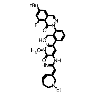 CCN1CCC#C/C(=C\C(=N)Nc2cc(-c3cccc(-n4ncc5cc(C(C)(C)C)cc(F)c5c4=O)c3CO)nn(C)c2=O)C1